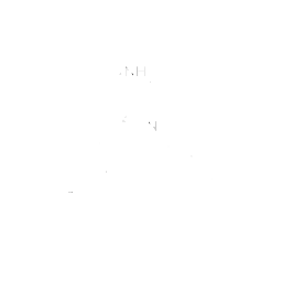 CC(C)Cc1cc(CN)nc(CC(C)C)c1